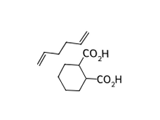 C=CCCC=C.O=C(O)C1CCCCC1C(=O)O